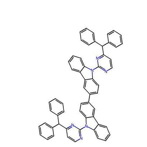 c1ccc(C(c2ccccc2)c2ccnc(-n3c4ccccc4c4cc(-c5ccc6c(c5)c5ccccc5n6-c5nccc(C(c6ccccc6)c6ccccc6)n5)ccc43)n2)cc1